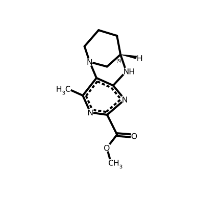 COC(=O)c1nc(C)c2c(n1)N[C@H]1CCCN2C1